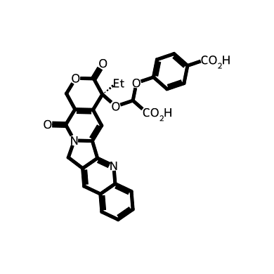 CC[C@@]1(OC(Oc2ccc(C(=O)O)cc2)C(=O)O)C(=O)OCc2c1cc1n(c2=O)Cc2cc3ccccc3nc2-1